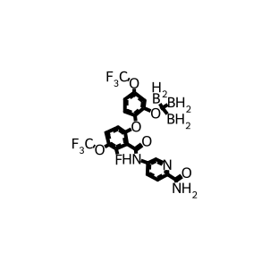 BC(B)(B)Oc1cc(OC(F)(F)F)ccc1Oc1ccc(OC(F)(F)F)c(F)c1C(=O)Nc1ccc(C(N)=O)nc1